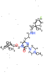 CN1CCN(c2nc(CCCN[C@@H]3C[C@H]3C3(C)C=CC(F)=CC3)cn(COCC[Si](C)(C)C)c2=O)CC1